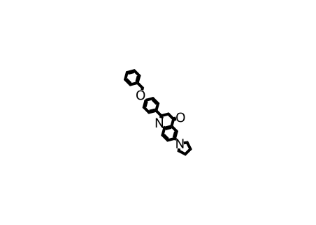 O=C1CC(c2ccc(OCc3ccccc3)cc2)=Nc2ccc(N3CCCC3)cc21